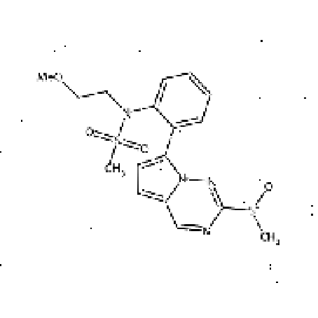 COCCN(c1ccccc1-c1ccc2cnc([S+](C)[O-])nn12)S(C)(=O)=O